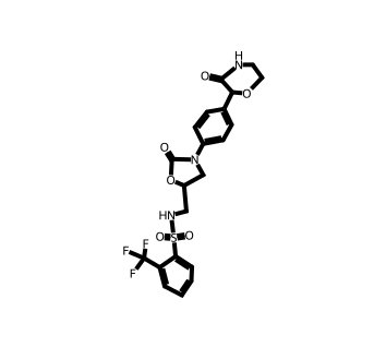 O=C1NCCOC1c1ccc(N2CC(CNS(=O)(=O)c3ccccc3C(F)(F)F)OC2=O)cc1